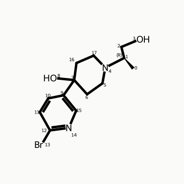 C[C@H](CO)N1CCC(O)(c2ccc(Br)nc2)CC1